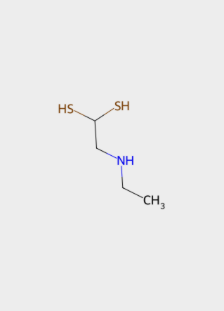 CCNCC(S)S